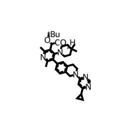 Cc1nc(C)c(C(OC(C)(C)C)C(=O)O)c(N2CCC(C)(C)CC2)c1-c1ccc2c(c1)CCN(c1cc(C3CC3)ncn1)C2